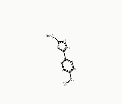 CCOC(=O)c1cc(-c2ccc(OC(F)(F)F)cc2)no1